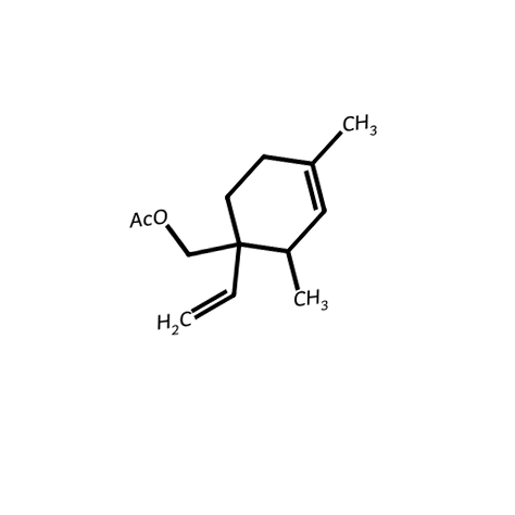 C=CC1(COC(C)=O)CCC(C)=CC1C